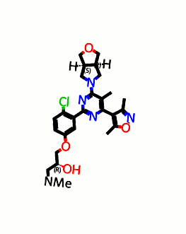 CNC[C@@H](O)COc1ccc(Cl)c(-c2nc(-c3c(C)noc3C)c(C)c(N3C[C@H]4COC[C@H]4C3)n2)c1